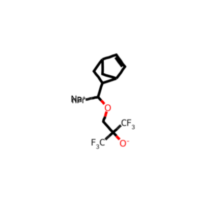 CCCC(OCC([O-])(C(F)(F)F)C(F)(F)F)C1CC2C=CC1C2.[Na+]